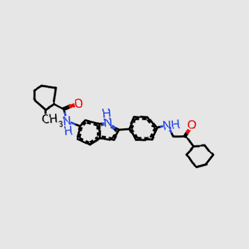 CC1CCCCC1C(=O)Nc1ccc2cc(-c3ccc(NCC(=O)C4CCCCC4)cc3)[nH]c2c1